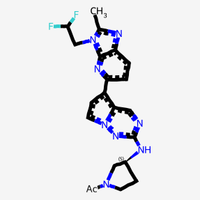 CC(=O)N1CC[C@H](Nc2ncc3c(-c4ccc5nc(C)n(CC(F)F)c5n4)ccn3n2)C1